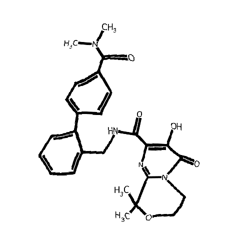 CN(C)C(=O)c1ccc(-c2ccccc2CNC(=O)c2nc3n(c(=O)c2O)CCOC3(C)C)cc1